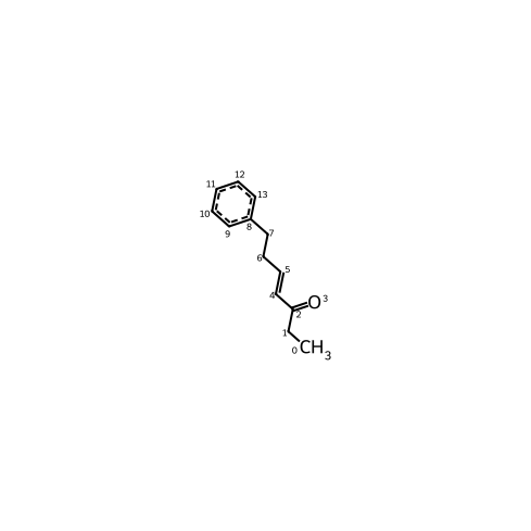 CCC(=O)C=CCCc1ccccc1